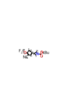 CC(C)(C)OC(=O)N1CC(c2ccc(OC(F)(F)F)c(C#N)c2)C1